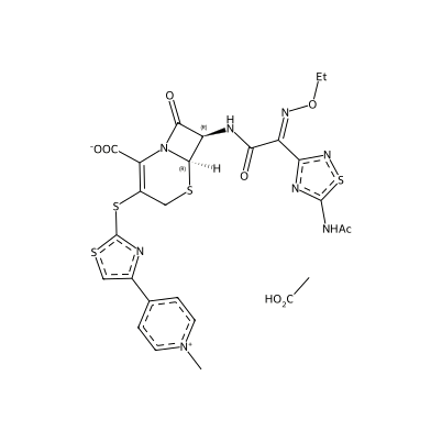 CC(=O)O.CCON=C(C(=O)N[C@@H]1C(=O)N2C(C(=O)[O-])=C(Sc3nc(-c4cc[n+](C)cc4)cs3)CS[C@H]12)c1nsc(NC(C)=O)n1